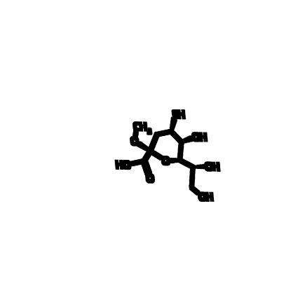 CO[C@@]1(C(=O)O)C[C@@H](S)[C@@H](O)[C@@H]([C@H](O)CO)O1